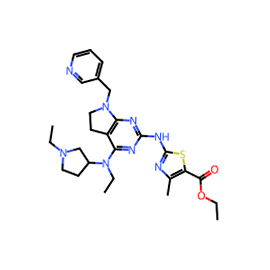 CCOC(=O)c1sc(Nc2nc3c(c(N(CC)C4CCN(CC)C4)n2)CCN3Cc2cccnc2)nc1C